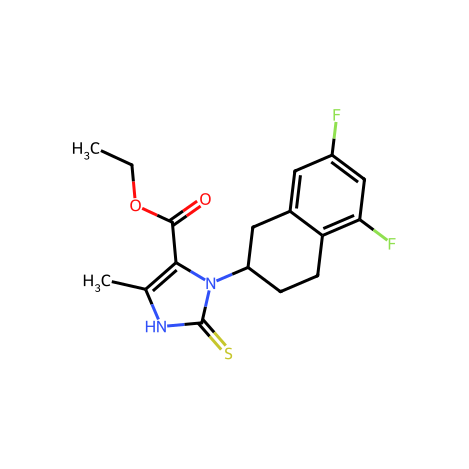 CCOC(=O)c1c(C)[nH]c(=S)n1C1CCc2c(F)cc(F)cc2C1